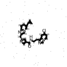 O=C(NCCc1ncn2ccc(Cl)cc12)c1cnn(Cc2cn3cc(C4CC4)ccc3n2)c1